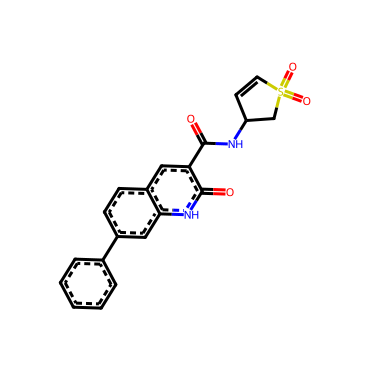 O=C(NC1C=CS(=O)(=O)C1)c1cc2ccc(-c3ccccc3)cc2[nH]c1=O